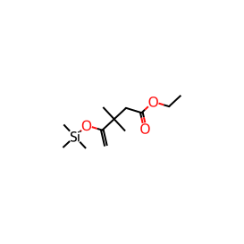 C=C(O[Si](C)(C)C)C(C)(C)CC(=O)OCC